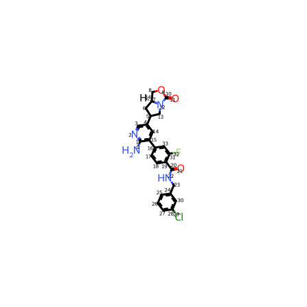 Nc1ncc(C2C[C@H]3COC(=O)N3C2)cc1-c1ccc(C(=O)NCc2cccc(Cl)c2)c(F)c1